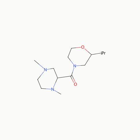 CC(C)C1CN(C(=O)C2CN(C)CCN2C)CCO1